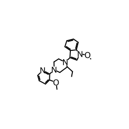 CCC1CN(c2ncccc2OC)CCN1c1cn(OC)c2ccccc12